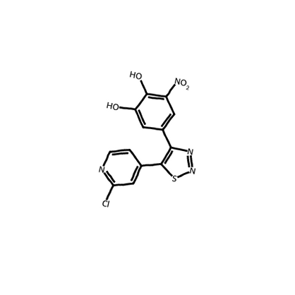 O=[N+]([O-])c1cc(-c2nnsc2-c2ccnc(Cl)c2)cc(O)c1O